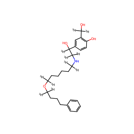 [2H]C([2H])(CCCCC([2H])([2H])OC([2H])([2H])CCCc1ccccc1)NC([2H])([2H])C([2H])(O)c1ccc(O)c(C([2H])([2H])O)c1